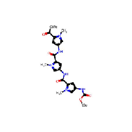 COC(=O)c1cc(NC(=O)c2cc(NC(=O)c3cc(NC(=O)OC(C)(C)C)cn3C)cn2C)cn1C